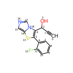 C#CC(O)c1c(-c2ccccc2F)sc2cncn12